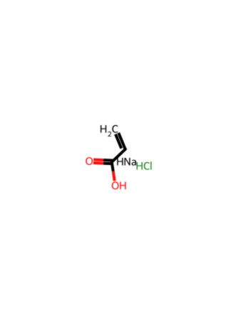 C=CC(=O)O.Cl.[NaH]